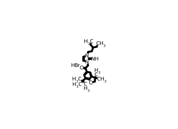 Br.CCC(CC)CCn1ccn(CC(=O)c2cc(C(C)(C)C)c3c(c2)C(C)(C)CO3)c1=N